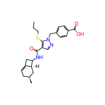 CCCSc1c(C(=O)NC2CC3=CC[C@H](C)C[C@@H]32)cnn1Cc1ccc(C(=O)O)cc1